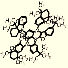 Cc1cc2c(cc1N1c3ccc(C(C)(C)C)cc3B3c4oc5ccc(C(C)(C)C)cc5c4N(c4ccc5c(c4)C(C)(C)CCC5(C)C)c4cc(N5c6ccccc6C6(C(C)(C)C)CCCCC56C)cc1c43)C(C)(C)CCC2(C)C